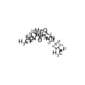 COc1cc2nc([C@H]3CC[C@H](C(C)I)CC3)cn2cc1NC(=O)c1cccc(C(C)(F)F)n1